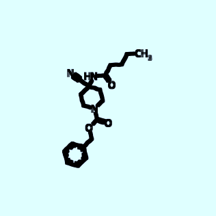 CCCCC(=O)NC1(C#N)CCN(C(=O)OCc2ccccc2)CC1